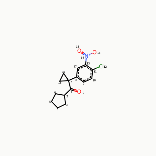 O=C(C1CCCC1)C1(c2ccc(Cl)c([N+](=O)[O-])c2)CC1